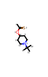 CC(=S)OC1CCN(C(C)(C)C)CC1